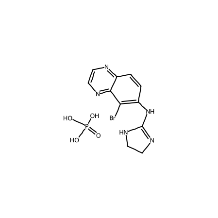 Brc1c(NC2=NCCN2)ccc2nccnc12.O=P(O)(O)O